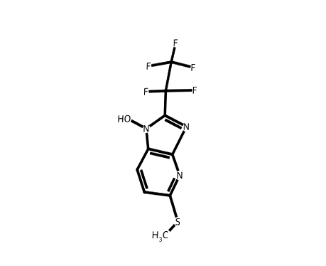 CSc1ccc2c(n1)nc(C(F)(F)C(F)(F)F)n2O